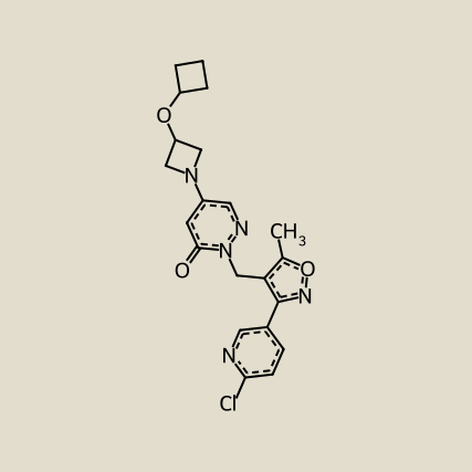 Cc1onc(-c2ccc(Cl)nc2)c1Cn1ncc(N2CC(OC3CCC3)C2)cc1=O